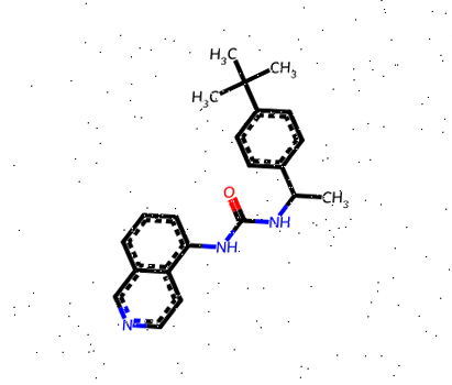 CC(NC(=O)Nc1cccc2cnccc12)c1ccc(C(C)(C)C)cc1